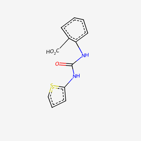 O=C(Nc1cccs1)Nc1ccccc1C(=O)O